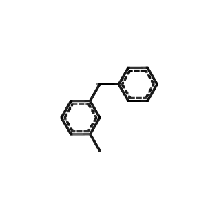 Cc1cccc([CH]c2ccccc2)c1